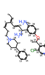 C/C=C(\C=C/CCN1CCC(c2ccccc2)CC1)/C=C/C(N)c1cc(OC(C)c2c(Cl)cncc2Cl)ccc1N